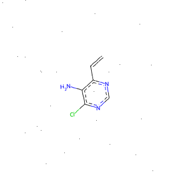 C=Cc1ncnc(Cl)c1N